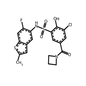 Cc1cc2cc(NS(=O)(=O)c3cc(C(=O)N4CCC4)cc(Cl)c3O)c(F)cc2s1